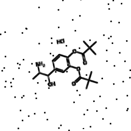 CC(N)C(O)c1ccc(OC(=O)C(C)(C)C)c(OC(=O)C(C)(C)C)c1.Cl